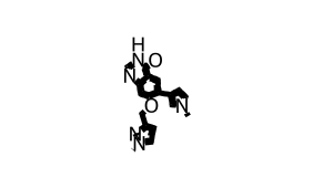 Cn1ccc(-c2cc3c(=O)[nH]cnc3cc2OCc2ccn(C)n2)c1